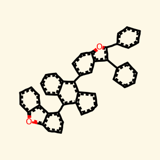 c1ccc(-c2oc3ccc(-c4c5ccccc5c(-c5cccc6oc7ccccc7c56)c5ccccc45)cc3c2-c2ccccc2)cc1